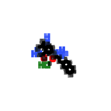 Cl.N[C@H](Cc1ccc2ccccc2c1)C(=O)Nc1cc2c3c(c[nH]c3c1)C=NNC2=O